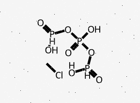 CCl.O=[PH](O)OP(=O)(O)O[PH](=O)O